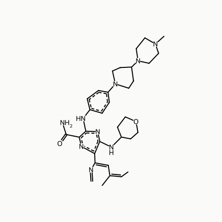 C=N/C(=C\C(C)=C/C)c1nc(C(N)=O)c(Nc2ccc(N3CCC(N4CCN(C)CC4)CC3)cc2)nc1NC1CCOCC1